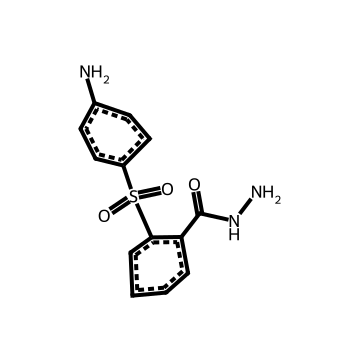 NNC(=O)c1ccccc1S(=O)(=O)c1ccc(N)cc1